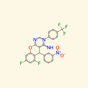 N=c1c2c(ncn1-c1ccc(C(F)(F)F)cc1)Oc1cc(F)cc(F)c1C2c1cccc([N+](=O)[O-])c1